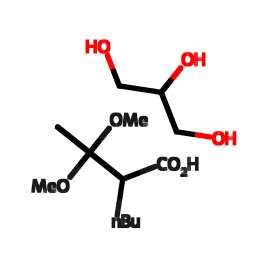 CCCCC(C(=O)O)C(C)(OC)OC.OCC(O)CO